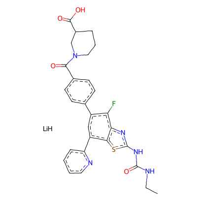 CCNC(=O)Nc1nc2c(F)c(-c3ccc(C(=O)N4CCCC(C(=O)O)C4)cc3)cc(-c3ccccn3)c2s1.[LiH]